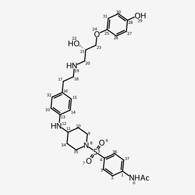 CC(=O)Nc1ccc(S(=O)(=O)N2CCC(Nc3ccc(CCNC[C@H](O)COc4ccc(O)cc4)cc3)CC2)cc1